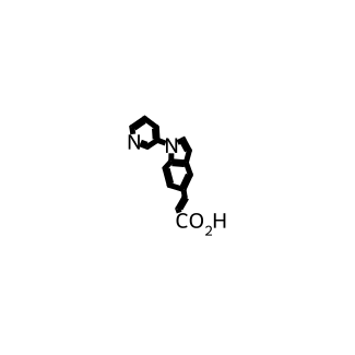 O=C(O)C=Cc1ccc2c(ccn2-c2cccnc2)c1